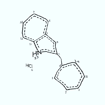 Cl.c1ccc(-c2cc3ccccc3[nH]2)cc1